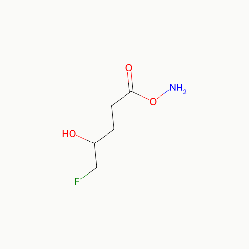 NOC(=O)CCC(O)CF